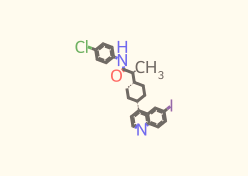 C[C@@H](C(=O)Nc1ccc(Cl)cc1)[C@H]1CC[C@@H](c2ccnc3ccc(I)cc32)CC1